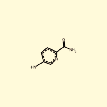 [NH]c1ccc(C(N)=O)nc1